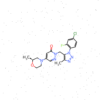 Cc1nnn(-c2ccc(Cl)cc2F)c1Cn1ncc(N2CCO[C@@H](C)C2)cc1=O